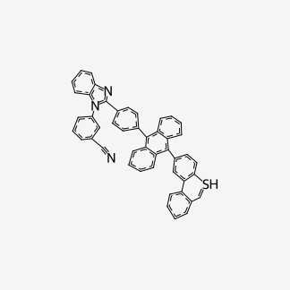 N#Cc1cccc(-n2c(-c3ccc(-c4c5ccccc5c(-c5ccc6c(c5)-c5ccccc5C=[SH]6)c5ccccc45)cc3)nc3ccccc32)c1